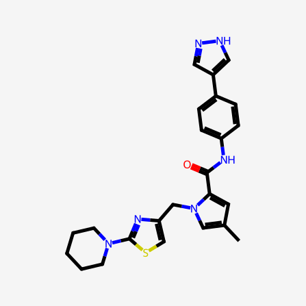 Cc1cc(C(=O)Nc2ccc(-c3cn[nH]c3)cc2)n(Cc2csc(N3CCCCC3)n2)c1